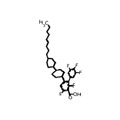 CCCCCCCCCC1CCC(C2CCC(c3cc(F)c(C(=O)O)c(F)c3-c3cc(F)c(F)c(F)c3)CC2)CC1